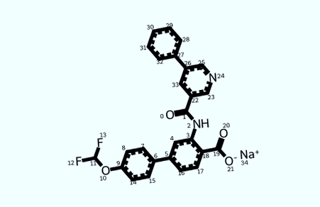 O=C(Nc1cc(-c2ccc(OC(F)F)cc2)ccc1C(=O)[O-])c1cncc(-c2ccccc2)c1.[Na+]